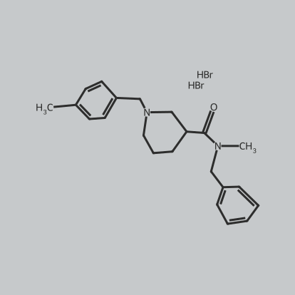 Br.Br.Cc1ccc(CN2CCCC(C(=O)N(C)Cc3ccccc3)C2)cc1